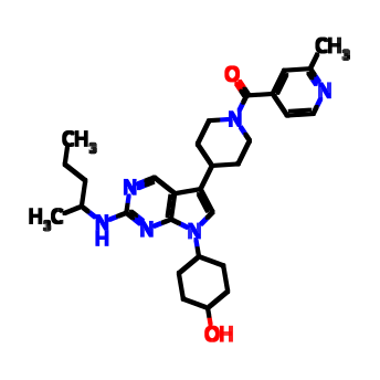 CCCC(C)Nc1ncc2c(C3CCN(C(=O)c4ccnc(C)c4)CC3)cn(C3CCC(O)CC3)c2n1